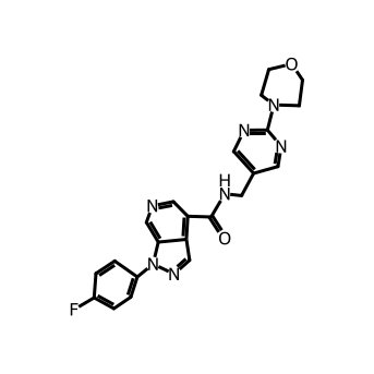 O=C(NCc1cnc(N2CCOCC2)nc1)c1cncc2c1cnn2-c1ccc(F)cc1